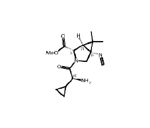 C=N[C@]12CN(C(=O)[C@@H](N)C3CC3)[C@H](C(=O)OC)[C@H]1C2(C)C